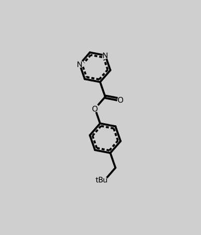 CC(C)(C)Cc1ccc(OC(=O)c2cncnc2)cc1